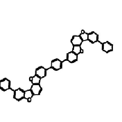 c1ccc(-c2ccc3oc4ccc5c6cc(-c7ccc(-c8ccc9oc%10c(ccc%11oc%12ccc(-c%13ccccc%13)cc%12c%11%10)c9c8)cc7)ccc6oc5c4c3c2)cc1